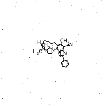 CCCCc1c(C)c(C#N)c2nc(-c3ccccc3)nn2c1N1CC[C@H](N(C)C)C1